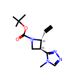 C#C[C@@H]1[C@@H](c2nncn2C)CN1C(=O)OC(C)(C)C